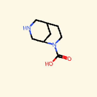 O=C(O)N1CCC2CNCC1C2